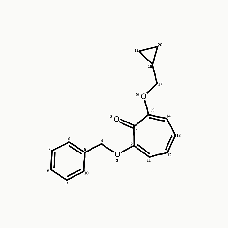 O=c1c(OCc2ccccc2)ccccc1OCC1CC1